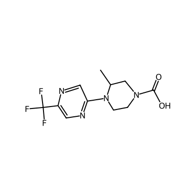 CC1CN(C(=O)O)CCN1c1cnc(C(F)(F)F)cn1